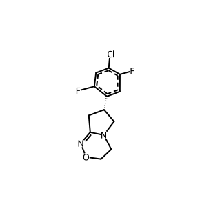 Fc1cc([C@H]2CC3=NOCCN3C2)c(F)cc1Cl